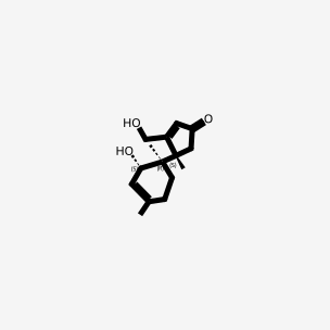 CC1=C[C@H](O)[C@@](C)([C@@]2(C)CC(=O)C=C2CO)CC1